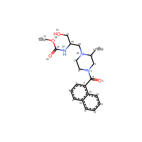 CCCCC1CN(C(=O)c2cccc3ccccc23)CCN1CC(CO)NC(=O)OC(C)(C)C